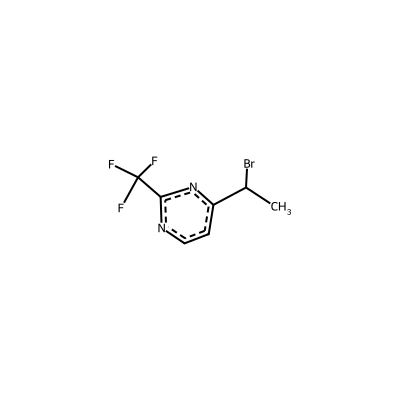 CC(Br)c1ccnc(C(F)(F)F)n1